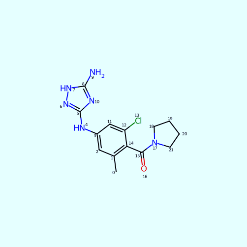 Cc1cc(Nc2n[nH]c(N)n2)cc(Cl)c1C(=O)N1CCCC1